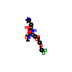 Cc1nccc(-c2ccc(C[C@H](NC(=O)[C@@H]3Cc4cc5c(cc4CN3C(=O)c3nc(C(C)C)oc3C)O[C@@H](c3ccc(OCc4ccc(Cl)c(Cl)c4)cc3)CO5)C(=O)O)cc2)c1C